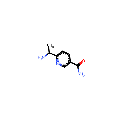 CC(N)c1ccc(C(N)=O)cn1